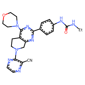 CCNC(=O)Nc1ccc(-c2nc3c(c(N4CCOCC4)n2)CCN(c2nccnc2C#N)C3)cc1